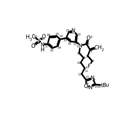 C=C(CCF)C(=O)N(CCCCCc1nc(C(C)(C)C)no1)c1cncc(-c2ccc(NS(C)(=O)=O)cc2)c1